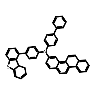 C1=CCC2C(=C1)Sc1cccc(-c3ccc(N(c4ccc(-c5ccccc5)cc4)c4ccc5ccc6c7ccccc7ccc6c5c4)cc3)c12